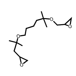 CC(C)(CCCCOC(C)(C)CC1CO1)OCC1CO1